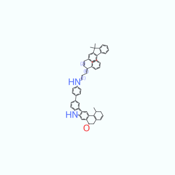 CC1CC=CC2=C1c1cc3c(cc1C(=O)C2)[nH]c1ccc(-c2ccc(N/C=C/C=C(\C=C/c4ccc5c(c4)C(C)(C)c4ccccc4-5)c4ccccc4)cc2)cc13